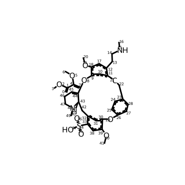 C=C(OC)/C(OC)=C1/Oc2cc(c(CCNC)cc2OC)CCc2ccc(cc2)Oc2cc(c(S(=O)(=O)O)cc2OC)C[C@H]2C1=CCCN2C